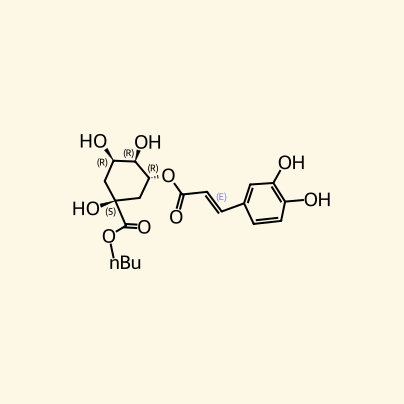 CCCCOC(=O)[C@]1(O)C[C@@H](O)[C@@H](O)[C@H](OC(=O)/C=C/c2ccc(O)c(O)c2)C1